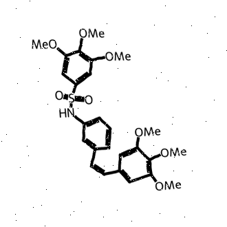 COc1cc(/C=C\c2cccc(NS(=O)(=O)c3cc(OC)c(OC)c(OC)c3)c2)cc(OC)c1OC